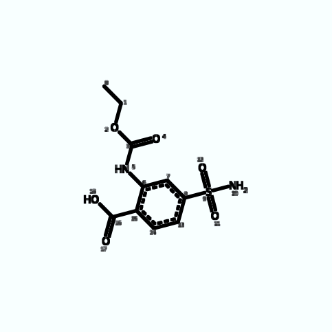 CCOC(=O)Nc1cc(S(N)(=O)=O)ccc1C(=O)O